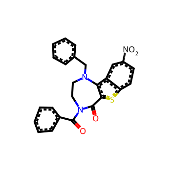 O=C(c1ccccc1)N1CCN(Cc2ccccc2)c2c(sc3ccc([N+](=O)[O-])cc23)C1=O